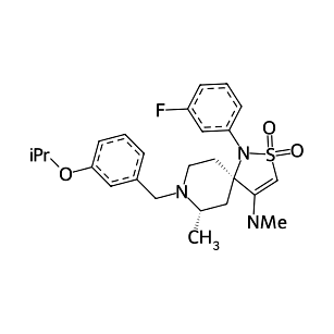 CNC1=CS(=O)(=O)N(c2cccc(F)c2)[C@@]12CCN(Cc1cccc(OC(C)C)c1)[C@@H](C)C2